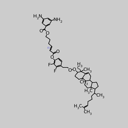 CC(C)=CCCCC(C)C1CCC2C3CC=C4C(C)(C)C(OOCCc5ccc(OC(=O)/C=C/CCCOC(=O)c6cc(N)cc(N)c6)c(F)c5F)CCC4(C)C3CCC12C